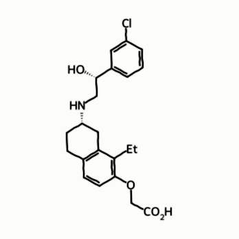 CCc1c(OCC(=O)O)ccc2c1C[C@@H](NC[C@H](O)c1cccc(Cl)c1)CC2